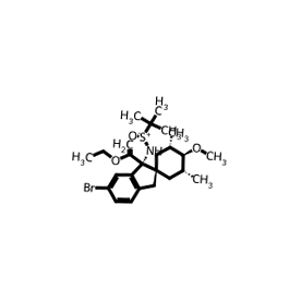 C=C(OCC)[C@]1(N[S@@+]([O-])C(C)(C)C)c2cc(Br)ccc2C[C@@]12C[C@@H](C)[C@H](OC)[C@@H](C)C2